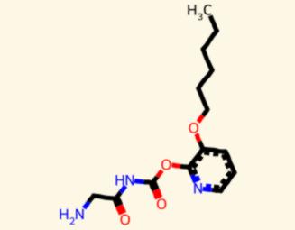 CCCCCCOc1cccnc1OC(=O)NC(=O)CN